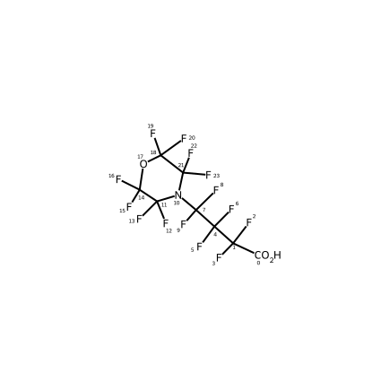 O=C(O)C(F)(F)C(F)(F)C(F)(F)N1C(F)(F)C(F)(F)OC(F)(F)C1(F)F